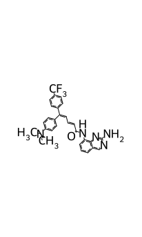 CN(C)c1ccc(/C(=C\C=C\C(=O)Nc2cccc3cnc(N)nc23)c2ccc(C(F)(F)F)cc2)cc1